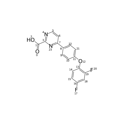 O=C(O)c1nccc(-c2ccc(Oc3ccc(F)cc3F)cc2)n1